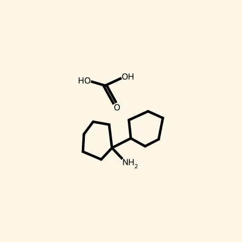 NC1(C2CCCCC2)CCCCC1.O=C(O)O